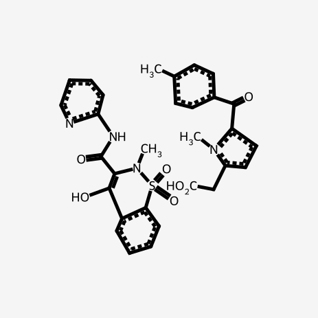 CN1C(C(=O)Nc2ccccn2)=C(O)c2ccccc2S1(=O)=O.Cc1ccc(C(=O)c2ccc(CC(=O)O)n2C)cc1